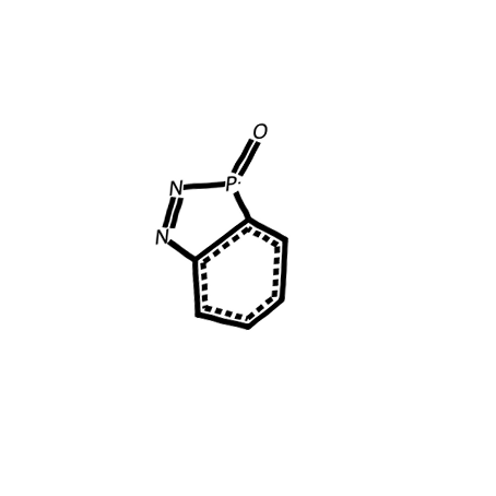 O=[P]1N=Nc2ccccc21